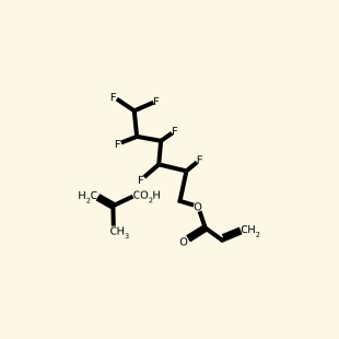 C=C(C)C(=O)O.C=CC(=O)OCC(F)C(F)C(F)C(F)C(F)F